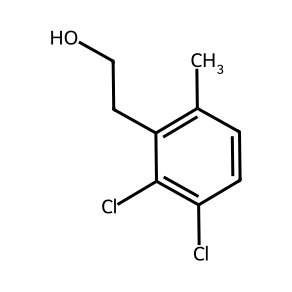 Cc1ccc(Cl)c(Cl)c1CCO